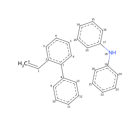 C=Cc1ccccc1-c1ccccc1.c1ccc(Nc2ccccc2)cc1